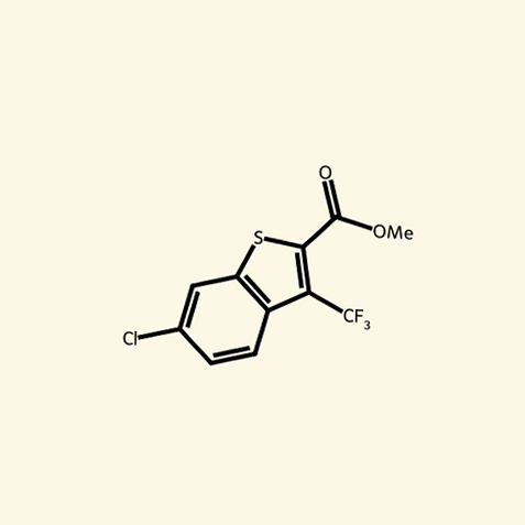 COC(=O)c1sc2cc(Cl)ccc2c1C(F)(F)F